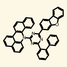 c1ccc(-c2ccccc2-c2nc(-c3ccc4c(c3)oc3ccccc34)nc(N3c4c(ccc5ccccc45)-c4cccc5cccc3c45)n2)cc1